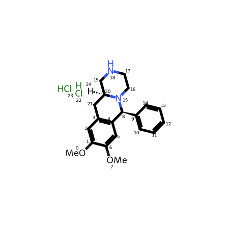 COc1cc2c(cc1OC)[C@H](c1ccccc1)N1CCNC[C@@H]1C2.Cl.Cl